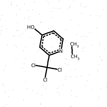 CC.Oc1ccnc(C(Cl)(Cl)Cl)c1